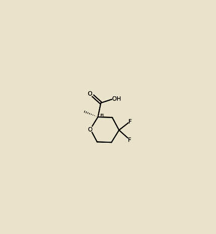 C[C@]1(C(=O)O)CC(F)(F)CCO1